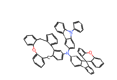 c1ccc(-n2c3ccccc3c3cc(N(c4ccc5c(c4)-c4ccccc4Cc4ccccc4Oc4ccccc4C5)c4ccc5c(c4)C4(c6ccccc6Oc6ccccc64)c4ccccc4-5)ccc32)cc1